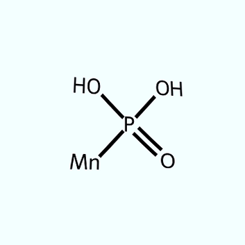 O=[P](O)(O)[Mn]